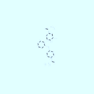 CC(C)c1c(O[C@H](c2ccc(C(N)=O)cc2)c2cccc(Br)c2)ccc2c1OCCC2=O